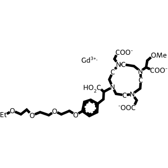 CCOCCOCCOCCOc1ccc(CC(C(=O)O)N2CCN(CC(=O)[O-])CCN(C(COC)C(=O)[O-])CCN(CC(=O)[O-])CC2)cc1.[Gd+3]